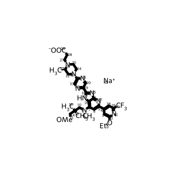 CCOc1cc(-c2cc(N(C)CC(C)(C)COC)c3[nH]c(-c4cnc(N5CCN(CCC(=O)[O-])[C@H](C)C5)cn4)nc3n2)cc(C(F)(F)F)n1.[Na+]